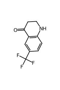 O=C1CCNc2ccc(C(F)(F)F)cc21